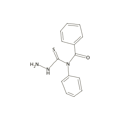 NNC(=S)N(C(=O)c1ccccc1)c1ccccc1